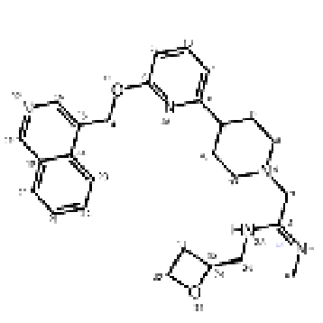 C/N=C(/CN1CCC(c2cccc(OCc3cncc4ccccc34)n2)CC1)NC[C@@H]1CCO1